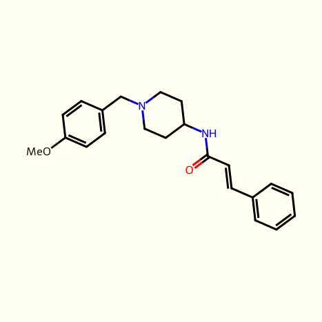 COc1ccc(CN2CCC(NC(=O)C=Cc3ccccc3)CC2)cc1